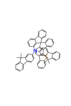 CC1(C)c2ccccc2-c2ccc(N(c3ccc4c(c3)C(C)(C)c3ccccc3-4)c3cccc4c3C3(c5ccccc5-4)c4ccccc4-c4c3ccc3c4sc4ccccc43)cc21